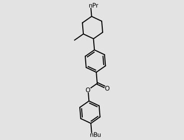 CCCCc1ccc(OC(=O)c2ccc(C3CCC(CCC)CC3C)cc2)cc1